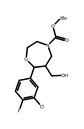 CC(C)(C)OC(=O)N1CCOC(c2ccc(F)c(Cl)c2)C(CO)C1